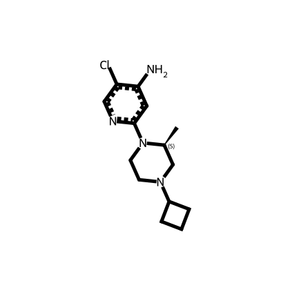 C[C@H]1CN(C2CCC2)CCN1c1cc(N)c(Cl)cn1